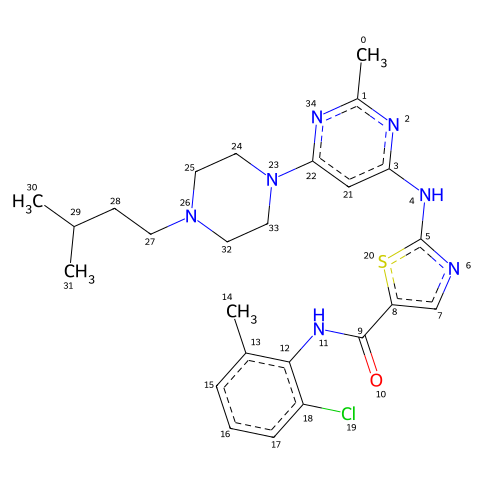 Cc1nc(Nc2ncc(C(=O)Nc3c(C)cccc3Cl)s2)cc(N2CCN(CCC(C)C)CC2)n1